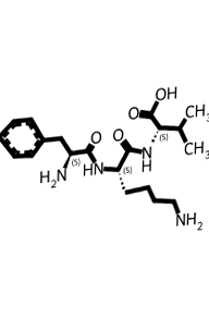 CC(C)[C@H](NC(=O)[C@H](CCCCN)NC(=O)[C@@H](N)Cc1ccccc1)C(=O)O